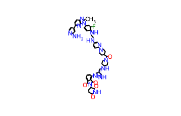 Cc1nc2ccc(-c3ccnc(N)c3)nc2n1-c1ccc(NCCNc2ccc(N3CCC(C(=O)N4CCC(N/C=C(\C=N)CNc5cccc6c5C(=O)N(C5CCC(=O)NC5=O)C6=O)CC4)CC3)nc2)c(F)c1